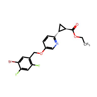 CCOC(=O)[C@@H]1C[C@H]1c1ccc(OCc2cc(Br)c(F)cc2F)cn1